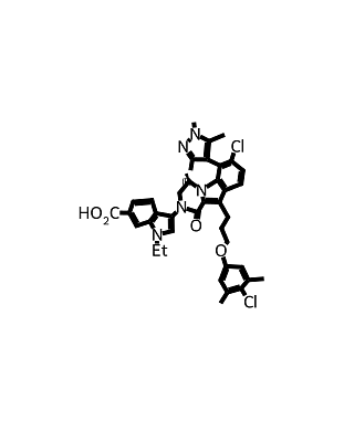 CCn1cc(N2C[C@@H](C)n3c(c(CCCOc4cc(C)c(Cl)c(C)c4)c4ccc(Cl)c(-c5c(C)nn(C)c5C)c43)C2=O)c2ccc(C(=O)O)cc21